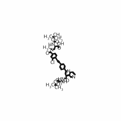 CN(CC(NC(=O)OC(C)(C)C)C(=O)O)C(=O)c1ccc(C#Cc2ccc(-c3cc(C(=O)NNC(=O)OC(C)(C)C)c4cnccc4n3)cc2)c(Cl)c1